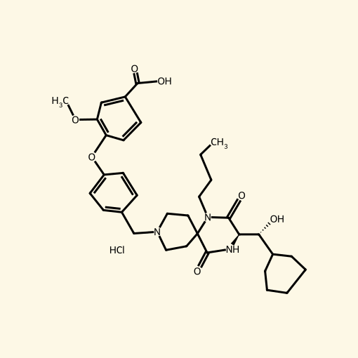 CCCCN1C(=O)[C@@H]([C@H](O)C2CCCCC2)NC(=O)C12CCN(Cc1ccc(Oc3ccc(C(=O)O)cc3OC)cc1)CC2.Cl